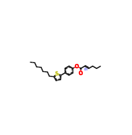 CCC/C=C/C(=O)Oc1ccc(-c2ccc(CCCCCCC)s2)cc1